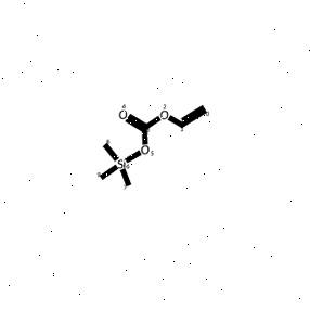 C=COC(=O)O[Si](C)(C)C